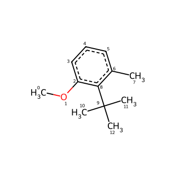 COc1cccc(C)c1C(C)(C)C